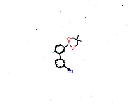 CC1(C)COB(c2ccc(F)c(-c3cccc(C#N)c3)c2)OC1